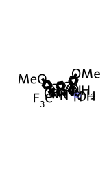 COc1ccc(S(=O)(=O)N(CC(F)(F)F)c2cnc(N(C/C(N)=N/O)S(=O)(=O)c3ccc(OC)cc3)c3ccccc23)cc1